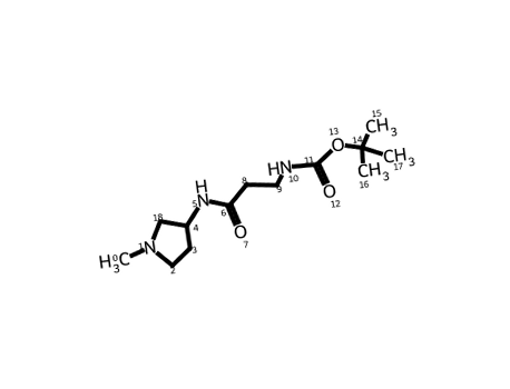 CN1CCC(NC(=O)CCNC(=O)OC(C)(C)C)C1